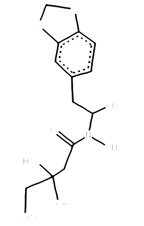 CC(=O)OCC(C)(C)CC(=O)N(C)C(C)Cc1ccc2c(c1)OCO2